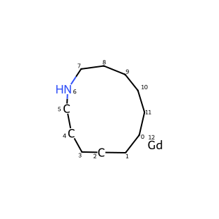 C1CCCCCNCCCCC1.[Gd]